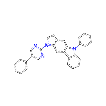 c1ccc(-c2cnc(-n3ccc4cc5c(cc43)c3ccccc3n5-c3ccccc3)nc2)cc1